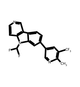 Cc1ncc(-c2ccc3c4cnccc4n(C(F)F)c3c2)cc1C(F)(F)F